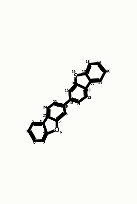 c1ccc2c(c1)oc1cc(-c3ccc4c(c3)sc3ccccc34)ccc12